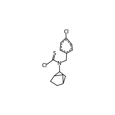 S=C(Cl)N(Cc1ccc(Cl)cc1)C1CC2CCC1C2